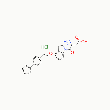 Cl.NC(CC(=O)O)C(=O)N1CCc2c(OCCc3ccc(-c4ccccc4)cc3)cccc21